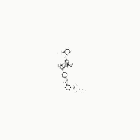 COC(=O)c1cccc(OCc2ccc(-c3onc(C)c3NC(=O)OCCc3ccccc3Cl)cc2)c1